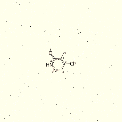 Cc1c(Cl)cn[nH]c1=O